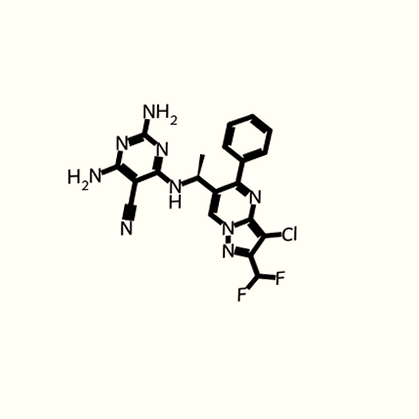 C[C@H](Nc1nc(N)nc(N)c1C#N)c1cn2nc(C(F)F)c(Cl)c2nc1-c1ccccc1